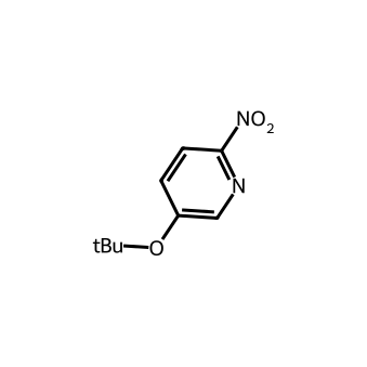 CC(C)(C)Oc1ccc([N+](=O)[O-])nc1